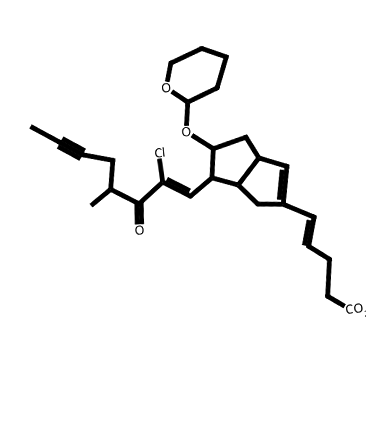 CC#CCC(C)C(=O)C(Cl)=CC1C(OC2CCCCO2)CC2C=C(C=CCCC(=O)OCC)CC21